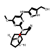 COc1cc(Nc2cc(CO)[nH]n2)nc(N(C)C2C[C@H]3CC[C@@H](C2)N3CCC#N)n1